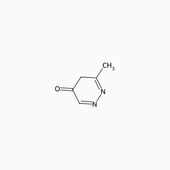 CC1=NN=CC(=O)C1